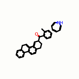 C1=CC=CNC=C1.Cc1ccccc1C(=O)C1C=c2c(ccc3c2=CCc2ccccc2-3)CC1